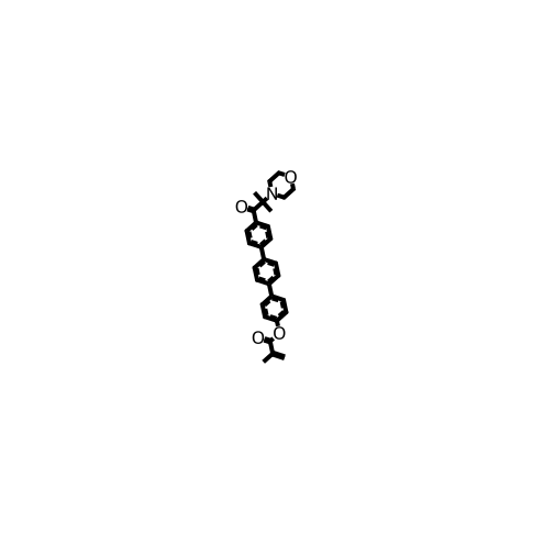 C=C(C)C(=O)Oc1ccc(-c2ccc(-c3ccc(C(=O)C(C)(C)N4CCOCC4)cc3)cc2)cc1